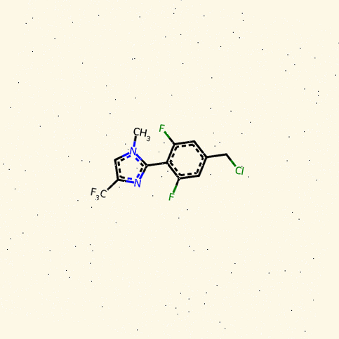 Cn1cc(C(F)(F)F)nc1-c1c(F)cc(CCl)cc1F